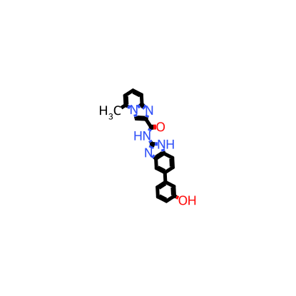 Cc1cccc2nc(C(=O)Nc3nc4cc(-c5cccc(O)c5)ccc4[nH]3)cn12